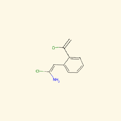 C=C(Cl)c1ccccc1/C=C(\N)Cl